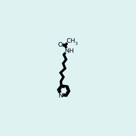 CC(=O)NCCCCCCCc1cccnc1